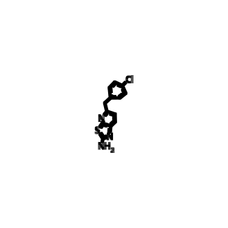 Nc1nc2ccc(Cc3ccc(Cl)cc3)nc2s1